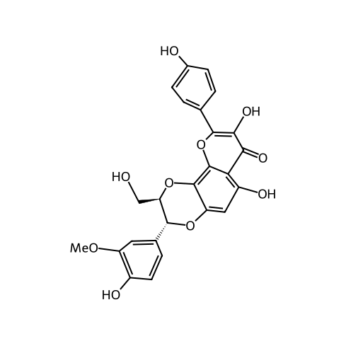 COc1cc([C@H]2Oc3cc(O)c4c(=O)c(O)c(-c5ccc(O)cc5)oc4c3O[C@@H]2CO)ccc1O